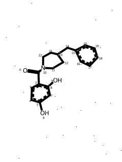 O=C(c1ccc(O)cc1O)N1CCC(Cc2ccccc2)CC1